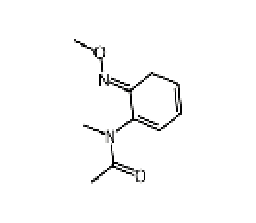 CON=C1CC=CC=C1N(C)C(C)=O